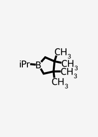 CC(C)B1CC(C)(C)C(C)(C)C1